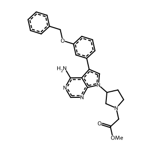 COC(=O)CN1CCC(n2cc(-c3cccc(OCc4ccccc4)c3)c3c(N)ncnc32)C1